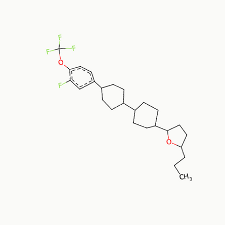 CCCC1CCC(C2CCC(C3CCC(c4ccc(OC(F)(F)F)c(F)c4)CC3)CC2)O1